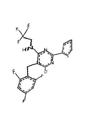 Fc1cc(F)c(Cc2c(Cl)nc(-c3cccs3)nc2NCC(F)(F)F)c(F)c1